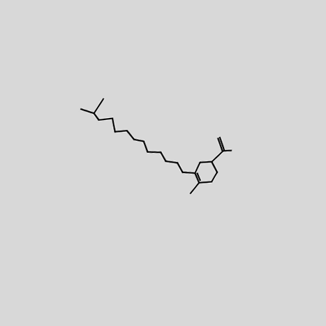 C=C(C)C1CCC(C)=C(CCCCCCCCCCCC(C)C)C1